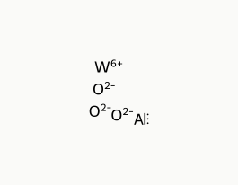 [Al].[O-2].[O-2].[O-2].[W+6]